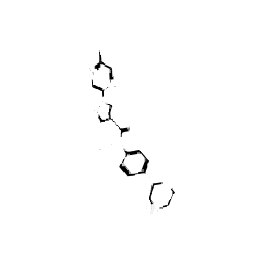 Cc1cnc(-n2cc(C(=O)Nc3ccc([C@H]4CNCCO4)cc3)cn2)cn1.Cl